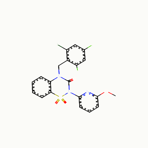 COc1cccc(N2C(=O)N(Cc3c(F)cc(F)cc3Cl)c3ccccc3S2(=O)=O)n1